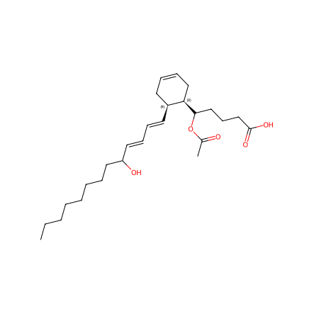 CCCCCCCCC(O)C=CC=C[C@H]1CC=CC[C@H]1C(CCCC(=O)O)OC(C)=O